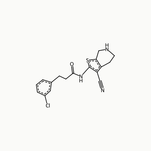 N#Cc1c(NC(=O)CCc2cccc(Cl)c2)sc2c1CCNC2